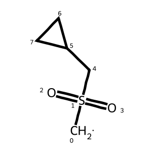 [CH2]S(=O)(=O)CC1CC1